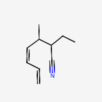 C=C/C=C\C(C)C(C#N)CC